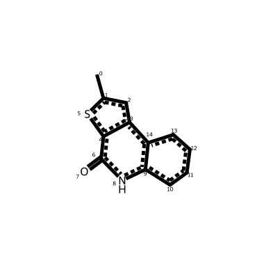 Cc1cc2c(s1)c(=O)[nH]c1ccccc12